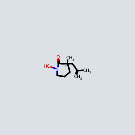 C=C(C)C[C@]1(C)CCCN(O)C1=O